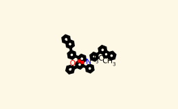 CC1(C)c2ccccc2-c2cccc(-c3ccc(N(c4ccc(-c5cccc(-c6ccc7ccccc7c6)c5)cc4)c4ccccc4-c4ccc5oc6ccccc6c5c4)cc3)c21